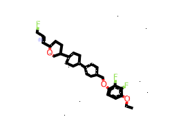 CCOc1ccc(OCC2CCC(C3CCC(C4CCC(/C=C/CF)OC4)CC3)CC2)c(F)c1F